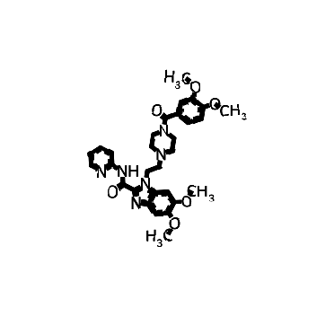 COc1ccc(C(=O)N2CCN(CCn3c(C(=O)Nc4ccccn4)nc4cc(OC)c(OC)cc43)CC2)cc1OC